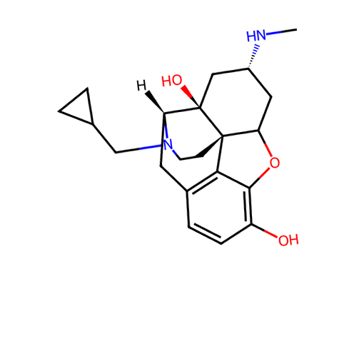 CN[C@@H]1CC2Oc3c(O)ccc4c3[C@@]23CCN(CC2CC2)[C@H](C4)[C@]3(O)C1